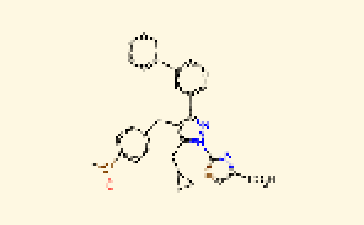 C[S+]([O-])c1ccc(Cc2c(-c3cccc(-c4ccccc4)c3)nn(-c3nc(C(=O)O)cs3)c2CC2CC2)cc1